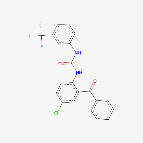 O=C(Nc1cccc(C(F)(F)F)c1)Nc1ccc(Cl)cc1C(=O)c1ccccc1